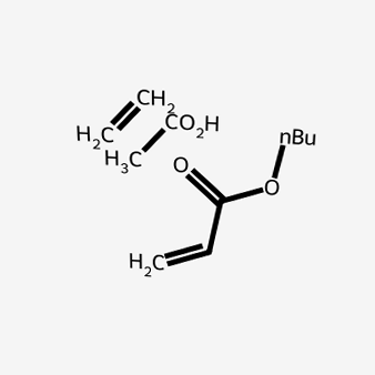 C=C.C=CC(=O)OCCCC.CC(=O)O